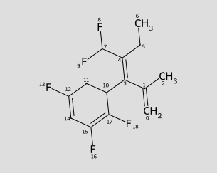 C=C(C)/C(=C(\CC)C(F)F)C1CC(F)=CC(F)=C1F